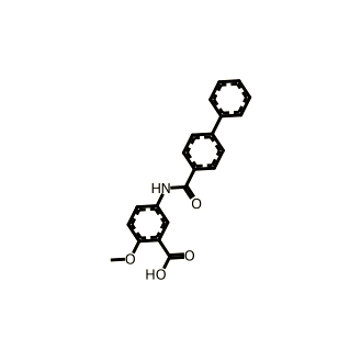 COc1ccc(NC(=O)c2ccc(-c3ccccc3)cc2)cc1C(=O)O